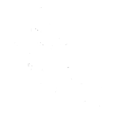 CC(C)c1cc2[nH]c(=O)n(NS(C)(=O)=O)c(=O)c2cc1C1CCOC1